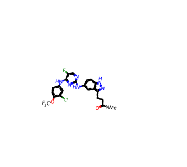 CNC(=O)CCc1n[nH]c2ccc(Nc3ncc(F)c(Nc4ccc(OC(F)(F)F)c(Cl)c4)n3)cc12